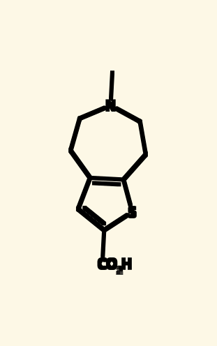 CN1CCc2cc(C(=O)O)sc2CC1